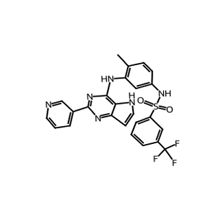 Cc1ccc(NS(=O)(=O)c2cccc(C(F)(F)F)c2)cc1Nc1nc(-c2cccnc2)nc2cc[nH]c12